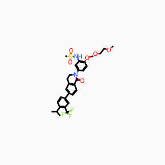 COCCOCOc1ccc(N2CCc3cc(-c4ccc(C(C)C)c(C(F)(F)F)c4)ccc3C2=O)cc1NS(C)(=O)=O